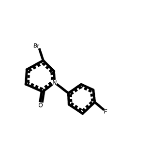 O=c1ccc(Br)cn1-c1ccc(F)cc1